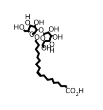 O=C(O)CCCCCCC/C=C\CCCCCCCCO[C@@H]1OC(CO)[C@@H](O)C(O)[C@@H]1O[C@@H]1OC(CO)[C@@H](O)C(O)[C@@H]1O